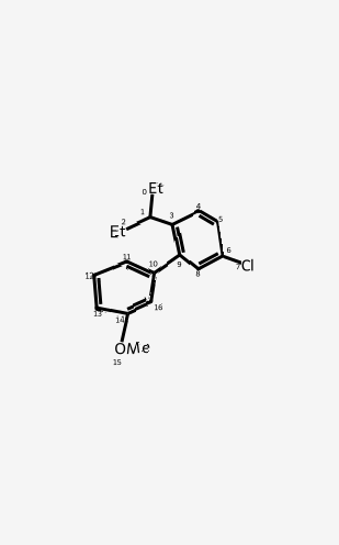 CCC(CC)c1ccc(Cl)cc1-c1cccc(OC)c1